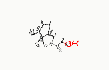 CC(CO)CCC1CC[C@H](C)C1(C)C